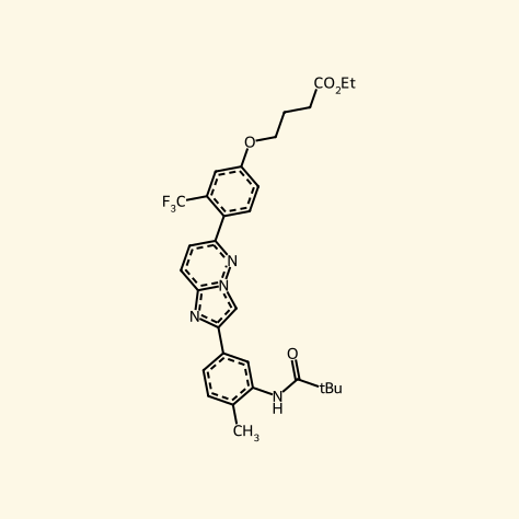 CCOC(=O)CCCOc1ccc(-c2ccc3nc(-c4ccc(C)c(NC(=O)C(C)(C)C)c4)cn3n2)c(C(F)(F)F)c1